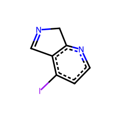 Ic1ccnc2c1C=NC2